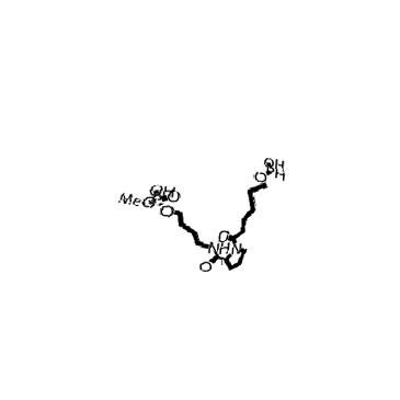 COP(=O)(O)OCCCCNC(=O)[C@@H]1CCCN1C(=O)CCCCCOPO